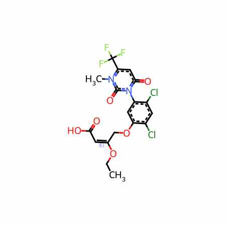 CCO/C(=C/C(=O)O)COc1cc(-n2c(=O)cc(C(F)(F)F)n(C)c2=O)c(Cl)cc1Cl